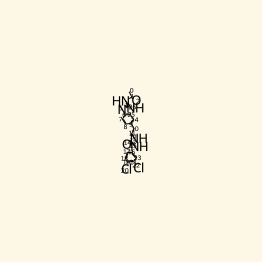 CC(=O)Nc1nc2ccc(CCNC(=O)Nc3ccc(Cl)c(Cl)c3)cc2[nH]1